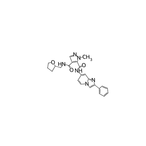 Cn1ncc(C(=O)NCC2CCCO2)c1C(=O)Nc1ccn2cc(-c3ccccc3)nc2c1